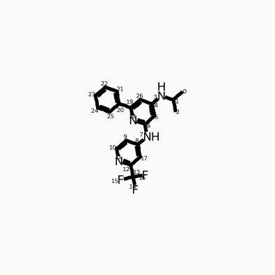 CC(C)Nc1cc(Nc2ccnc(C(F)(F)F)c2)nc(-c2ccccc2)c1